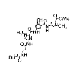 COC(=O)c1cc(NC(=O)c2cc(NC(=O)c3nc(NC(=O)CCNC(=O)OC(C)(C)C)cn3C)cn2C)cn1C